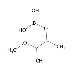 COC(C)C(C)OB(O)O